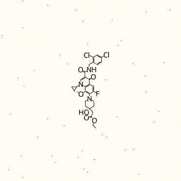 CCOC(=O)CC1(O)CCN(c2c(F)cc3c(=O)c(C(=O)NCc4ccc(Cl)cc4Cl)cn(C4CC4)c3c2OC)CC1